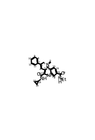 C=NN(C(/C=C(\C)c1ccccc1)=C(\N)C(=O)NC1CC1)c1ccc(C(=O)NCC)cc1